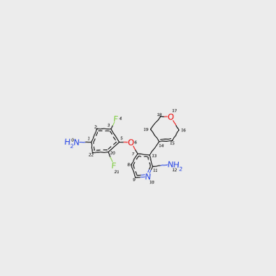 Nc1cc(F)c(Oc2ccnc(N)c2C2=CCOCC2)c(F)c1